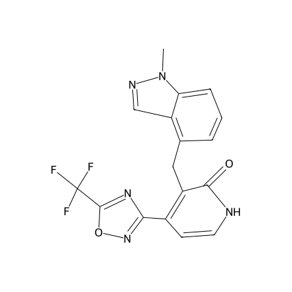 Cn1ncc2c(Cc3c(-c4noc(C(F)(F)F)n4)cc[nH]c3=O)cccc21